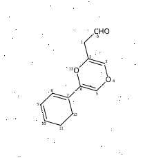 O=CCC1=COC=C(C2=CC=CCC2)O1